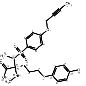 CC#CCOc1ccc(S(=O)(=O)N(C)[C@@](CCCSc2ccc(Cl)cc2)(NC)C(=O)O)cc1